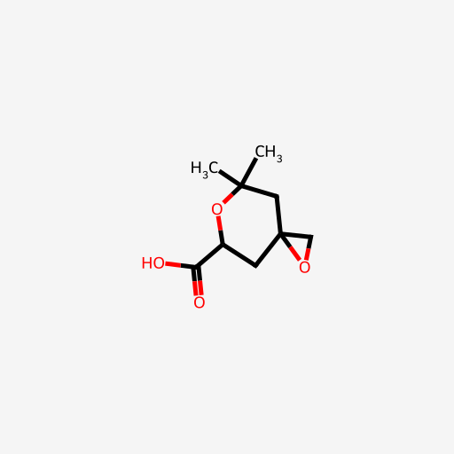 CC1(C)CC2(CO2)CC(C(=O)O)O1